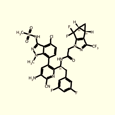 Cn1nc(NS(C)(=O)=O)c2c(Cl)ccc(-c3cc(N)c(C#N)nc3[C@H](Cc3cc(F)cc(F)c3)NC(=O)Cn3nc(C(F)(F)F)c4c3C(F)(F)[C@@H]3C[C@H]43)c21